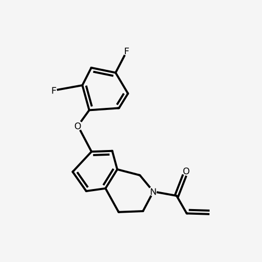 C=CC(=O)N1CCc2ccc(Oc3ccc(F)cc3F)cc2C1